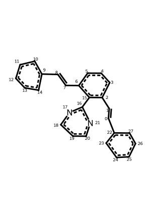 C(=Cc1cccc(C=Cc2ccccc2)c1-c1ncccn1)c1ccccc1